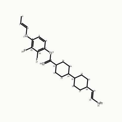 C/C=C/Oc1ccc(OC(=O)C2CCC(C3CCC(/C=C/CCC)CC3)CC2)c(F)c1F